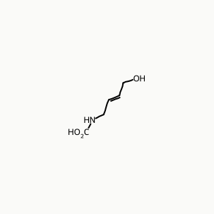 O=C(O)NCC=CCO